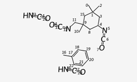 CC1(C)CC(N=C=O)CC(C)(CN=C=O)C1.Cc1ccccc1.N=C=O.N=C=O